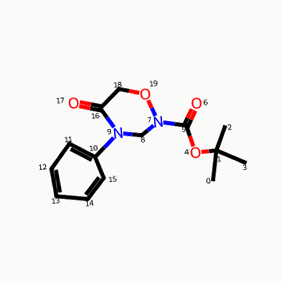 CC(C)(C)OC(=O)N1CN(c2ccccc2)C(=O)CO1